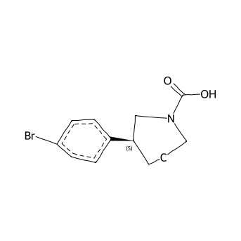 O=C(O)N1CCC[C@@H](c2ccc(Br)cc2)C1